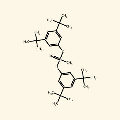 CC(C)(C)c1cc(OP(C)(=N)Oc2cc(C(C)(C)C)cc(C(C)(C)C)c2)cc(C(C)(C)C)c1